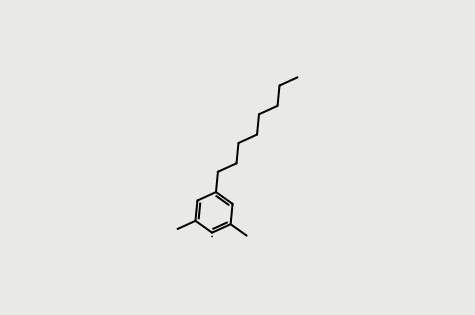 CCCCCCCCc1cc(C)[c]c(C)c1